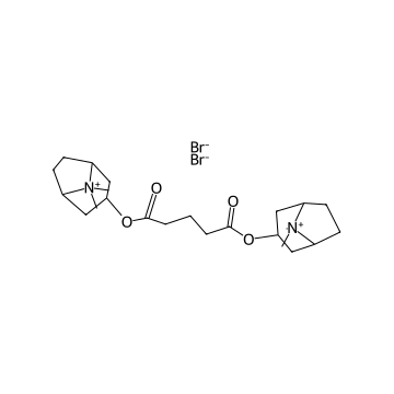 C[N+]1(C)C2CCC1CC(OC(=O)CCCC(=O)OC1CC3CCC(C1)[N+]3(C)C)C2.[Br-].[Br-]